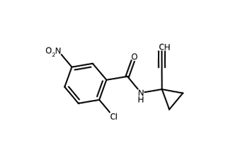 C#CC1(NC(=O)c2cc([N+](=O)[O-])ccc2Cl)CC1